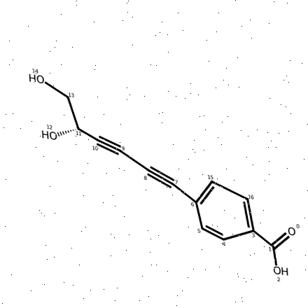 O=C(O)c1ccc(C#CC#C[C@H](O)CO)cc1